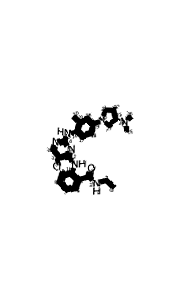 CCNC(=O)c1ccccc1Nc1nc(Nc2ccc(N3CC[C@H](N(C)C)C3)cc2C)ncc1Cl